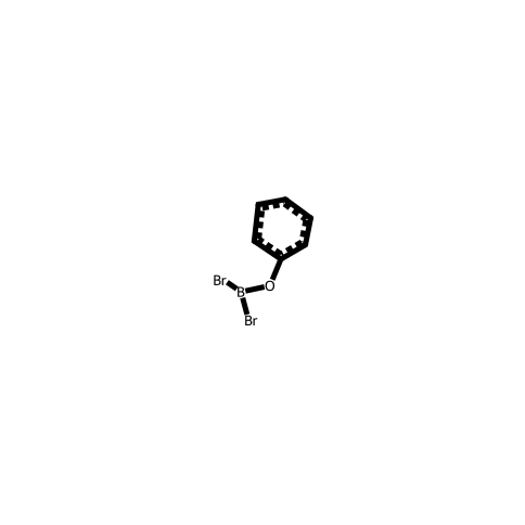 BrB(Br)Oc1ccccc1